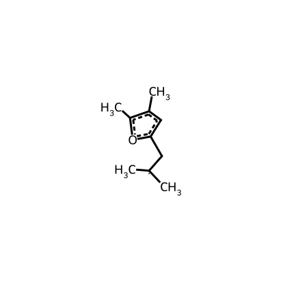 C[C](C)Cc1cc(C)c(C)o1